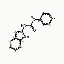 O=C(Nc1nc2ccccc2s1)Oc1ccccc1